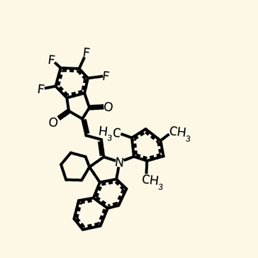 Cc1cc(C)c(N2/C(=C/C=C3C(=O)c4c(F)c(F)c(F)c(F)c4C3=O)C3(CCCCC3)c3c2ccc2ccccc32)c(C)c1